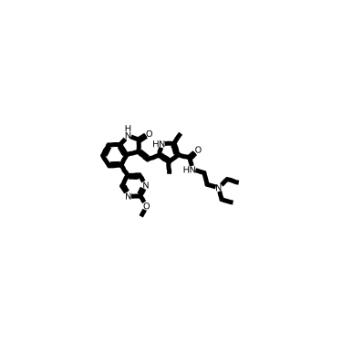 CCN(CC)CCNC(=O)c1c(C)[nH]c(/C=C2\C(=O)Nc3cccc(-c4cnc(OC)nc4)c32)c1C